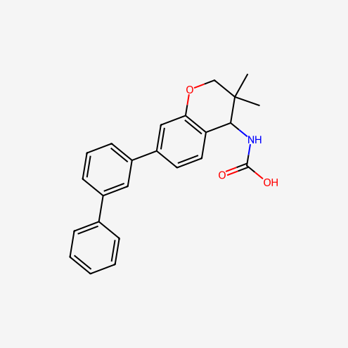 CC1(C)COc2cc(-c3cccc(-c4ccccc4)c3)ccc2C1NC(=O)O